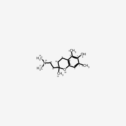 Cc1cc2c(c(C)c1O)CCC(C)(CCN(C)C)O2